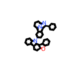 c1ccc(-c2nc3cccc4c5cc(-n6c7ccccc7c7ccc8oc9ccccc9c8c76)ccc5c2n34)cc1